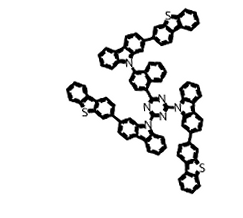 c1ccc2c(c1)sc1cc(-c3ccc4c5ccccc5n(-c5nc(-c6ccc(-n7c8ccccc8c8ccc(-c9ccc%10c(c9)sc9ccccc9%10)cc87)c7ccccc67)nc(-n6c7ccccc7c7ccc(-c8ccc9c(c8)sc8ccccc89)cc76)n5)c4c3)ccc12